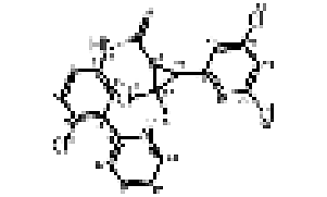 C=C(Nc1ccc(Cl)c(-c2ccccn2)c1)C1C(c2cc(Cl)cc(Cl)c2)C1(C)Cl